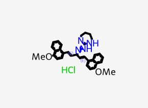 COc1ccc(/C=C/C(/C=C/c2ccc(OC)c3ccccc23)=NNC2=NCCCCN2)c2ccccc12.Cl